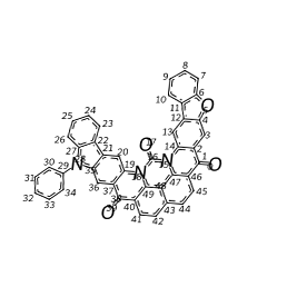 O=c1c2cc3oc4ccccc4c3cc2n2c(=O)n3c4cc5c6ccccc6n(-c6ccccc6)c5cc4c(=O)c4ccc5ccc1c2c5c43